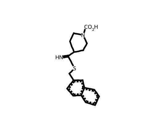 N=C(SCc1ccc2ccccc2c1)C1CCN(C(=O)O)CC1